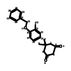 CC1(C)CC(=O)CC(=O)C1.Ic1ccccc1OCc1ccccc1